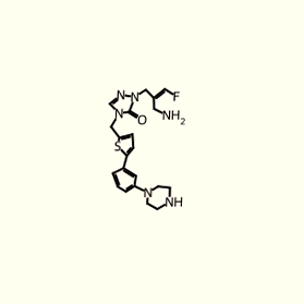 NC/C(=C\F)Cn1ncn(Cc2ccc(-c3cccc(N4CCNCC4)c3)s2)c1=O